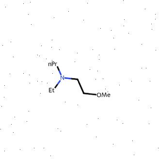 CCCN(CC)CCOC